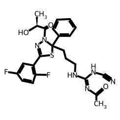 CC(=O)/N=C(\NC#N)NCCCC1(c2ccccc2)SC(c2cc(F)ccc2F)=NN1C(=O)[C@H](C)O